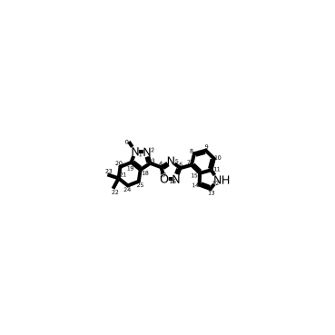 Cn1nc(-c2nc(-c3cccc4[nH]ccc34)no2)c2c1CC(C)(C)CC2